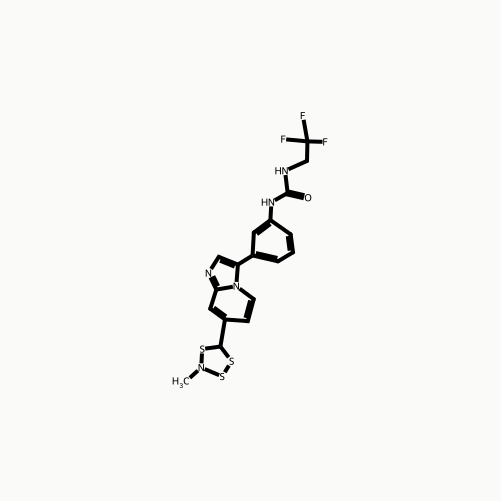 CN1SSC(c2ccn3c(-c4cccc(NC(=O)NCC(F)(F)F)c4)cnc3c2)S1